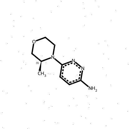 C[C@H]1COCCN1c1ccc(N)nn1